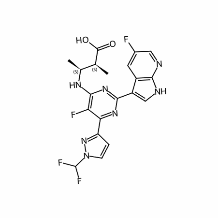 C[C@H](Nc1nc(-c2c[nH]c3ncc(F)cc23)nc(-c2ccn(C(F)F)n2)c1F)[C@H](C)C(=O)O